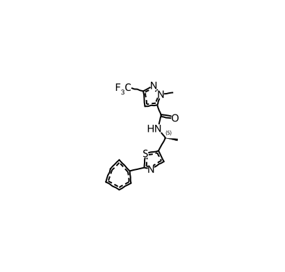 C[C@H](NC(=O)c1cc(C(F)(F)F)nn1C)c1cnc(-c2ccccc2)s1